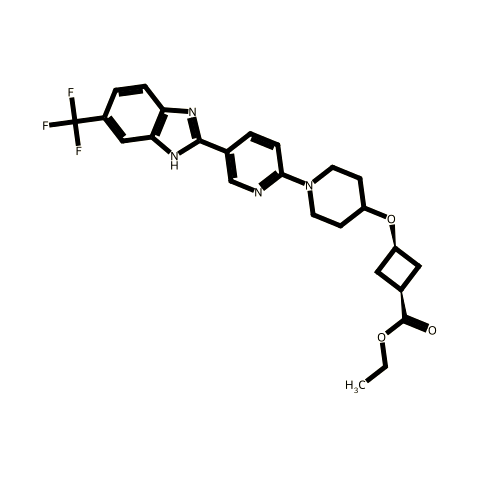 CCOC(=O)[C@H]1C[C@@H](OC2CCN(c3ccc(-c4nc5ccc(C(F)(F)F)cc5[nH]4)cn3)CC2)C1